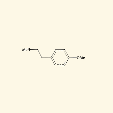 [CH2]NCCc1ccc(OC)cc1